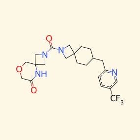 O=C1COCC2(CN(C(=O)N3CC4(CCC(Cc5ccc(C(F)(F)F)cn5)CC4)C3)C2)N1